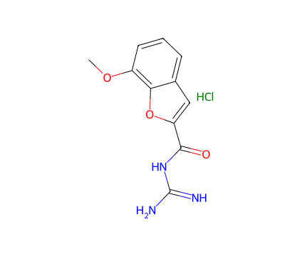 COc1cccc2cc(C(=O)NC(=N)N)oc12.Cl